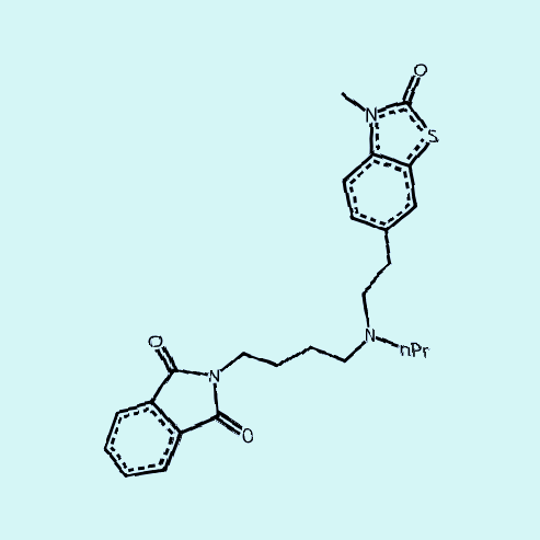 CCCN(CCCCN1C(=O)c2ccccc2C1=O)CCc1ccc2c(c1)sc(=O)n2C